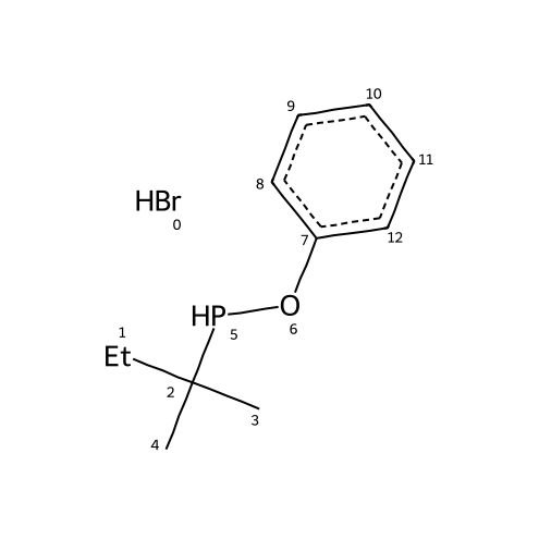 Br.CCC(C)(C)POc1ccccc1